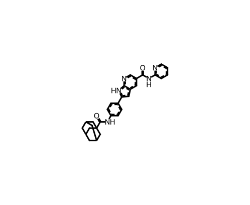 O=C(Nc1ccccn1)c1cnc2[nH]c(-c3ccc(NC(=O)C45CC6CC(CC(C6)C4)C5)cc3)cc2c1